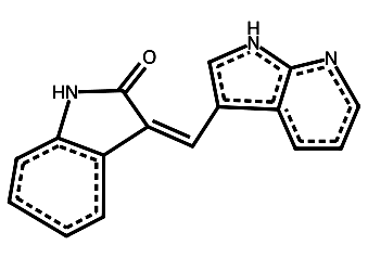 O=C1Nc2ccccc2C1=Cc1c[nH]c2ncccc12